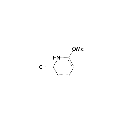 COC1=CC=CC(Cl)N1